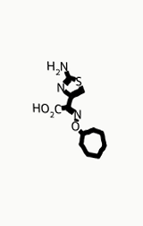 Nc1nc(/C(=N/OC2CCCCCC2)C(=O)O)cs1